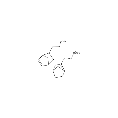 CCCCCCCCCCCCC1=C2CCC(C1)C2.CCCCCCCCCCCCC1CC2C=CC1C2